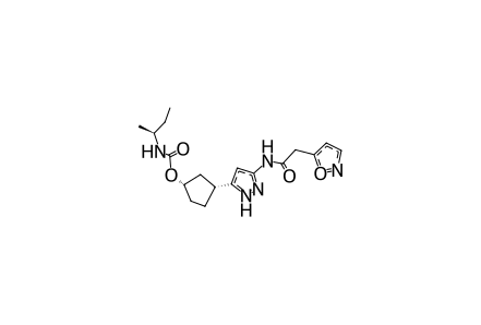 CC[C@H](C)NC(=O)O[C@H]1CC[C@@H](c2cc(NC(=O)Cc3ccno3)n[nH]2)C1